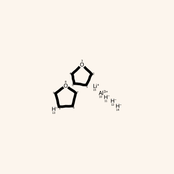 C1CCOC1.C1CCOC1.[Al+3].[H-].[H-].[H-].[H-].[Li+]